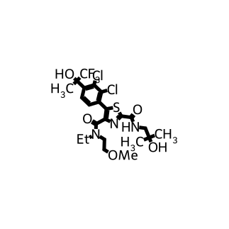 CCN(CCOC)C(=O)c1nc(C(=O)NCC(C)(C)O)sc1-c1ccc(C(C)(O)C(F)(F)F)c(Cl)c1Cl